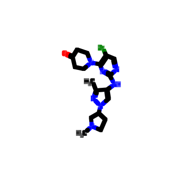 Cc1nn(C2CCN(C)C2)cc1Nc1ncc(Br)c(N2CCC(=O)CC2)n1